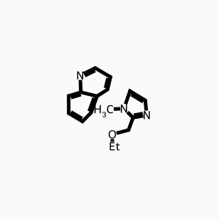 CCOCc1nccn1C.c1ccc2ncccc2c1